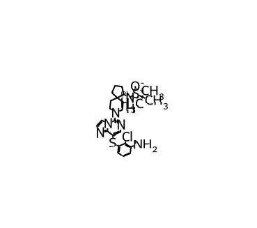 CC(C)(C)[S+]([O-])N[C@@H]1CCCC12CCN(c1ncc(Sc3cccc(N)c3Cl)c3nccn13)CC2